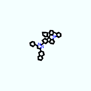 c1ccc(-c2cc(-c3ccc4ccccc4c3)nc(-c3ccc(C4(c5ccccc5)c5ccccc5-n5c6ccccc6c6cccc4c65)cc3)n2)cc1